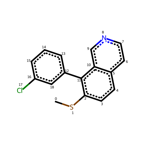 CSc1ccc2ccncc2c1-c1cccc(Cl)c1